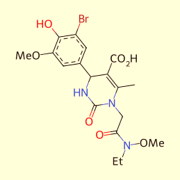 CCN(OC)C(=O)CN1C(=O)NC(c2cc(Br)c(O)c(OC)c2)C(C(=O)O)=C1C